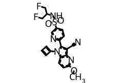 COc1ccc2c(n1)c(C#N)c(-c1ccc(S(=O)(=O)NC(CF)CF)cn1)n2C1=CC=C1